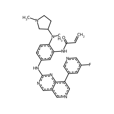 C=CC(=O)Nc1cc(Nc2ncc3cncc(-c4cncc(F)c4)c3n2)ccc1N(C)C1CCN(C)C1